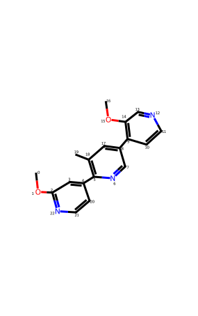 COc1cc(-c2ncc(-c3ccncc3OC)[c]c2C)ccn1